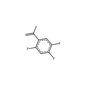 C=C(C)c1cc(F)c(F)cc1F